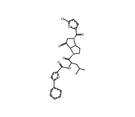 CC(C)CC(NC(=O)c1ccc(-c2ccccc2)s1)C(=O)N1CCC2C1C(=O)CN2C(=O)c1ccc(Cl)o1